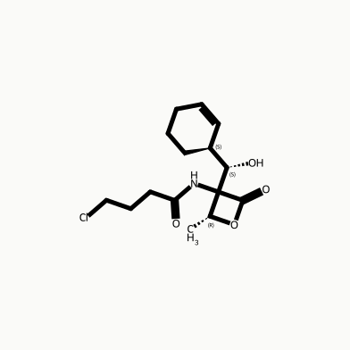 C[C@H]1OC(=O)C1(NC(=O)CCCCl)[C@@H](O)[C@@H]1C=CCCC1